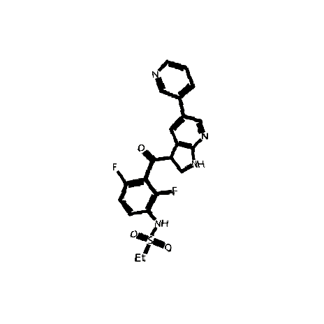 CCS(=O)(=O)Nc1ccc(F)c(C(=O)C2CNc3ncc(-c4cccnc4)cc32)c1F